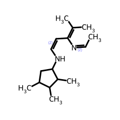 C/C=N\C(/C=C\NC1CC(C)C(C)C1C)=C(C)C